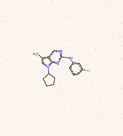 Cc1cn(C2CCCC2)c2nc(Nc3cccc(Cl)c3)ncc12